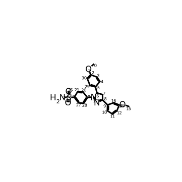 COc1ccc(C2CC(c3cccc(OC)c3)=NN2c2ccc(S(N)(=O)=O)cc2)cc1